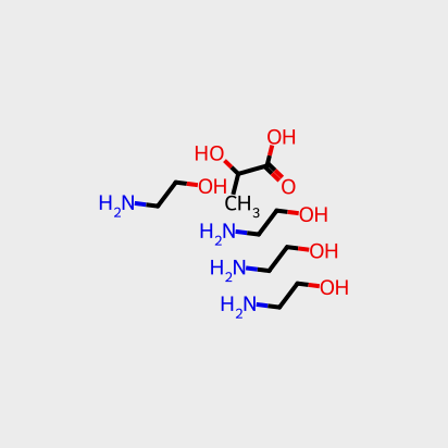 CC(O)C(=O)O.NCCO.NCCO.NCCO.NCCO